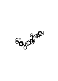 O=C(NCc1ccncc1)C1=NOC2(CCN(C(=O)c3ccc(OC(F)(F)F)cc3)CC2)C1